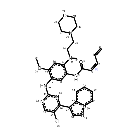 C=C/C=C\C(=O)Nc1cc(Nc2ncc(Cl)c(-c3cnn4ccccc34)n2)c(OC)cc1N(C)CCN1CCOCC1